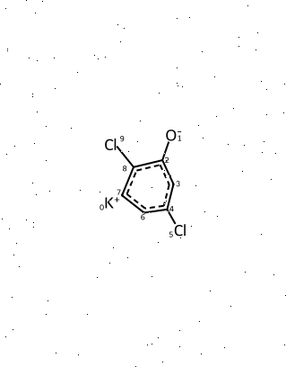 [K+].[O-]c1cc(Cl)ccc1Cl